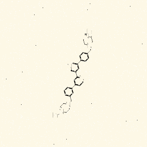 CC(C)N1CCN(Cc2ccc(-c3cncc(-c4[c]c(-c5cccc(CN6CCN(C(C)C)CC6)c5)ccn4)c3)cc2)CC1